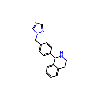 c1ccc2c(c1)CCNC2c1ccc(Cn2cncn2)cc1